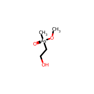 CO[As](C)(=O)CCO